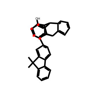 CC1(C)c2ccccc2-c2ccc(-c3ccc(O)c4c3C3c5ccccc5C4c4ccccc43)cc21